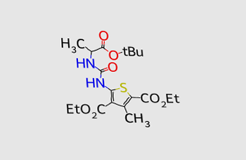 CCOC(=O)c1sc(NC(=O)NC(C)C(=O)OC(C)(C)C)c(C(=O)OCC)c1C